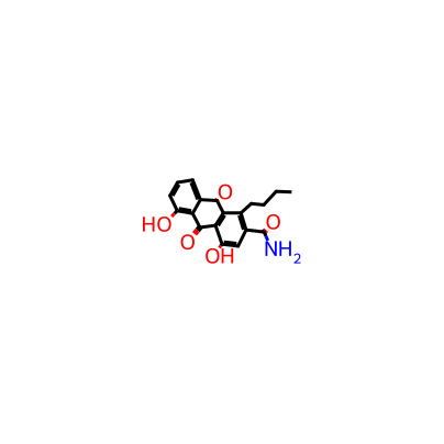 CCCCc1c(C(N)=O)cc(O)c2c1C(=O)c1cccc(O)c1C2=O